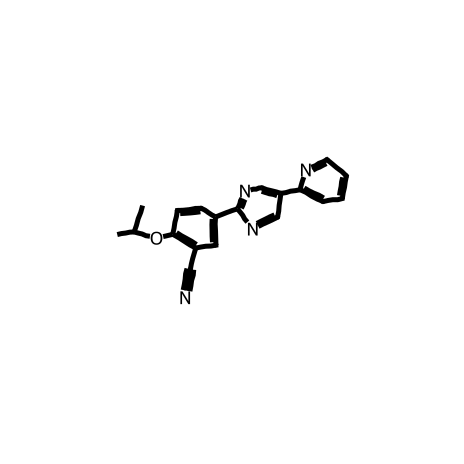 CC(C)Oc1ccc(-c2ncc(-c3ccccn3)cn2)cc1C#N